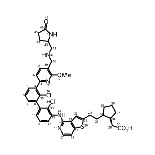 COc1nc(-c2cccc(-c3cccc(Nc4nccc5sc(CCC6CCCC6CC(=O)O)cc45)c3Cl)c2Cl)ccc1CNCC1CCC(=O)N1